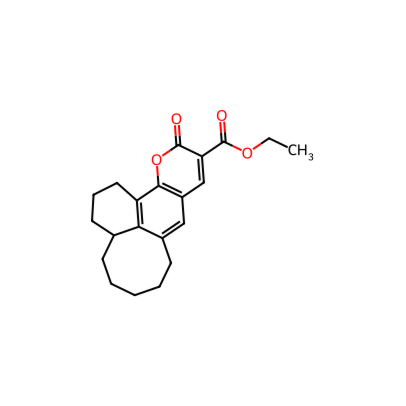 CCOC(=O)c1cc2cc3c4c(c2oc1=O)CCCC4CCCCC3